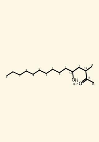 CCCCCCCCCCC(O)CC(C)C(C)=O